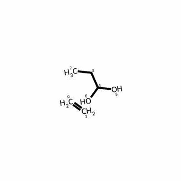 C=C.CCC(O)O